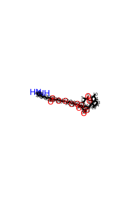 CCC(C)C(=O)OC1CC(C)C=C2C=CC(C)C(CCC3CC(OC(=O)OCCOCCOCCOCCOC(=O)CCCCC4CCNN4)CC(=O)O3)C21